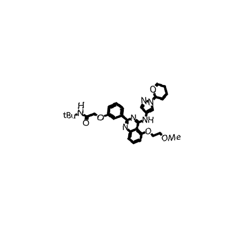 COCCOc1cccc2nc(-c3cccc(OCC(=O)NC(C)(C)C)c3)nc(Nc3cnn(C4CCCCO4)c3)c12